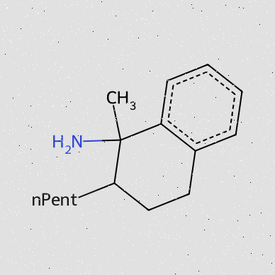 CCCCCC1CCc2ccccc2C1(C)N